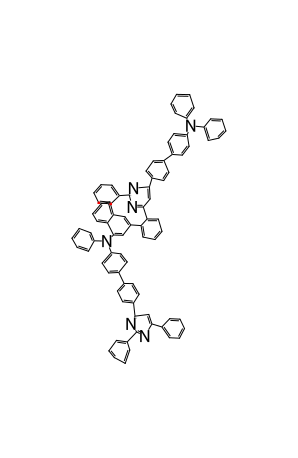 c1ccc(-c2cc(-c3ccc(-c4ccc(N(c5ccccc5)c5cc(-c6ccccc6-c6cc(-c7ccc(-c8ccc(N(c9ccccc9)c9ccccc9)cc8)cc7)nc(-c7ccccc7)n6)cc6ccccc56)cc4)cc3)nc(-c3ccccc3)n2)cc1